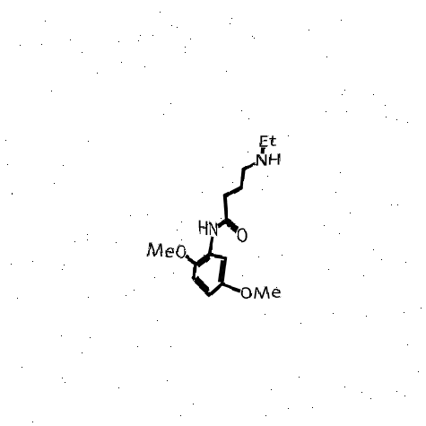 CCNCCCC(=O)Nc1cc(OC)ccc1OC